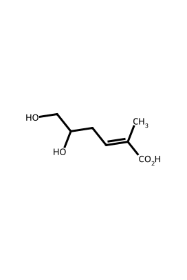 CC(=CCC(O)CO)C(=O)O